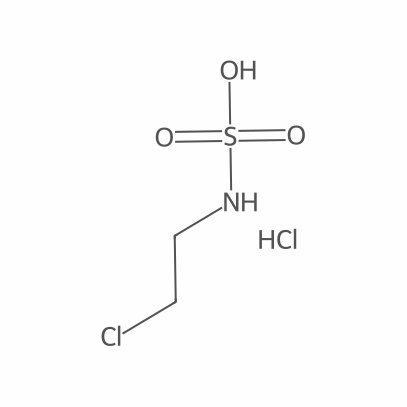 Cl.O=S(=O)(O)NCCCl